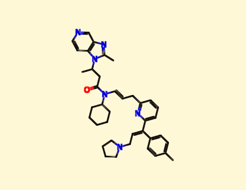 Cc1ccc(C(=CCN2CCCC2)c2cccc(CC=CN(C(=O)CC(C)n3c(C)nc4cnccc43)C3CCCCC3)n2)cc1